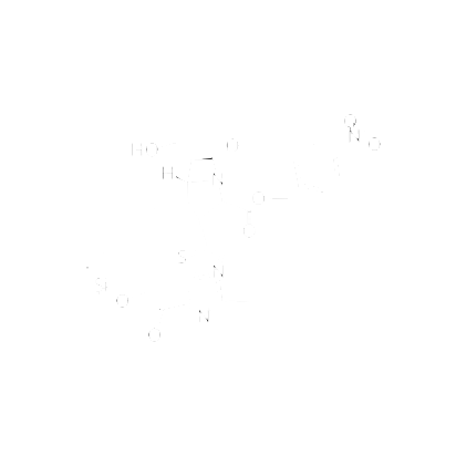 Cc1nc(C(=O)CO[Si](C)(C)C(C)(C)C)c2sc(C3=C(C(=O)OCc4ccc([N+](=O)[O-])cc4)N4C(=O)[C@H]([C@@H](C)O)[C@H]4[C@H]3C)cn12